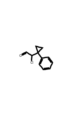 O=CC(Cl)C1(c2ccccc2)CC1